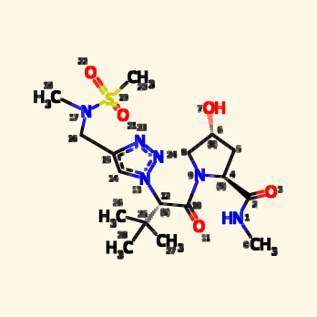 CNC(=O)[C@@H]1C[C@@H](O)CN1C(=O)[C@@H](n1cc(CN(C)S(C)(=O)=O)nn1)C(C)(C)C